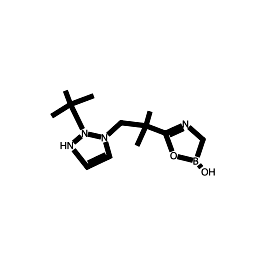 CC(C)(CN1C=CNN1C(C)(C)C)C1=NCB(O)O1